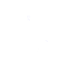 O=C(O)C1CCCN1C(=O)Cc1c[nH]c2ccccc12